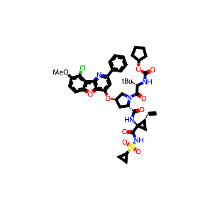 C=C[C@@H]1C[C@]1(NC(=O)[C@@H]1C[C@@H](Oc2cc(-c3ccccc3)nc3c2oc2ccc(OC)c(Cl)c23)CN1C(=O)[C@@H](NC(=O)OC1CCCC1)C(C)(C)C)C(=O)NS(=O)(=O)C1CC1